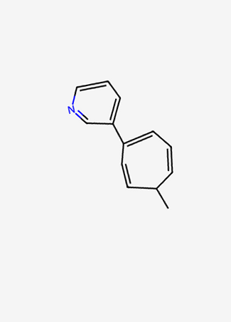 CC1C=CC=C(c2cccnc2)C=C1